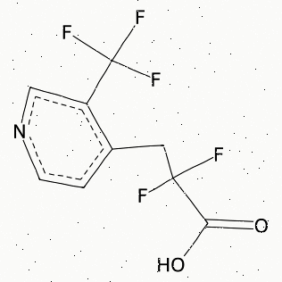 O=C(O)C(F)(F)Cc1ccncc1C(F)(F)F